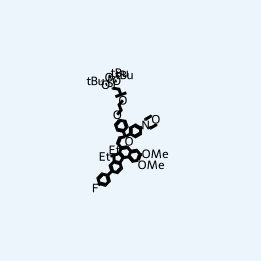 CCC1(CC)c2cc(-c3ccc(F)cc3)ccc2-c2c1c1c(c3cc(OC)c(OC)cc23)OC(c2ccc(OCCOC(C)(C)CC[Si](OC(C)(C)C)(OC(C)(C)C)OC(C)(C)C)cc2)(c2ccc(N3CCOCC3)cc2)C=C1